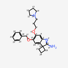 NC1=Nc2cc(OCCCN3CCCC3)c(OCc3ccccc3)cc2C12CCC2